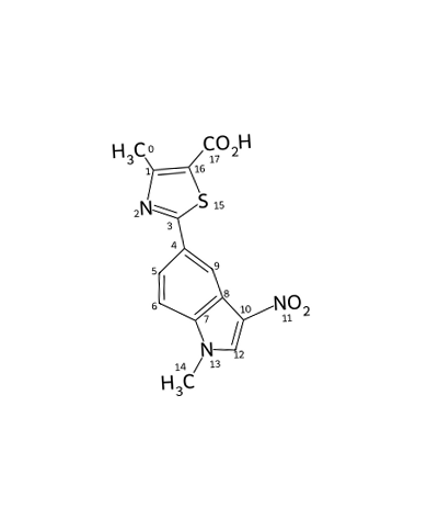 Cc1nc(-c2ccc3c(c2)c([N+](=O)[O-])cn3C)sc1C(=O)O